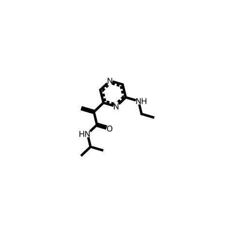 C=C(C(=O)NC(C)C)c1cncc(NCC)n1